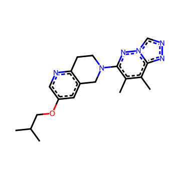 Cc1c(N2CCc3ncc(OCC(C)C)cc3C2)nn2cnnc2c1C